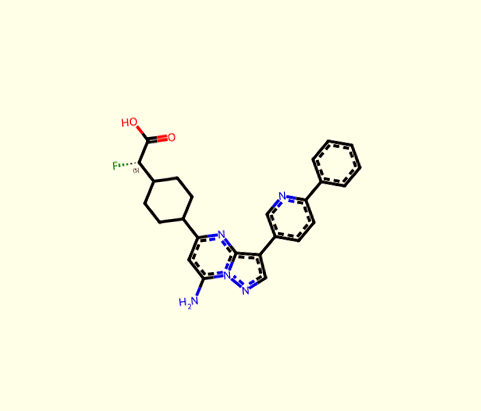 Nc1cc(C2CCC([C@H](F)C(=O)O)CC2)nc2c(-c3ccc(-c4ccccc4)nc3)cnn12